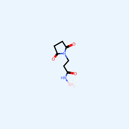 BNC(=O)CCN1C(=O)CCC1=O